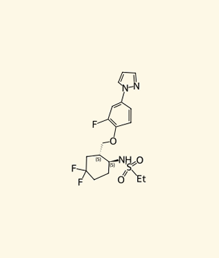 CCS(=O)(=O)N[C@H]1CCC(F)(F)C[C@@H]1COc1ccc(-n2cccn2)cc1F